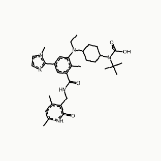 CCN(c1cc(-c2nccn2C)cc(C(=O)NCc2c(C)cc(C)[nH]c2=O)c1C)C1CCC(N(C(=O)O)C(C)(C)C)CC1